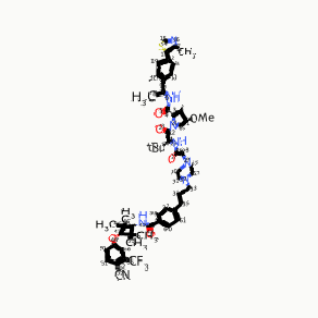 CO[C@@H]1C[C@@H](C(=O)NC(C)c2ccc(-c3scnc3C)cc2)N(C(=O)[C@@H](NC(=O)CN2CCN(CCCc3ccc(C(=O)N[C@H]4C(C)(C)[C@H](Oc5ccc(C#N)c(C(F)(F)F)c5)C4(C)C)cc3)CC2)C(C)(C)C)C1